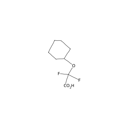 O=C(O)C(F)(F)OC1CCCCC1